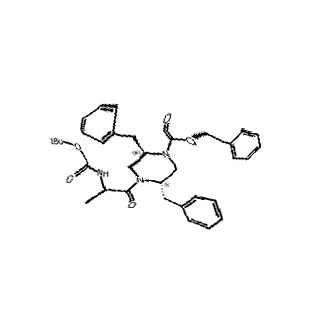 CC(NC(=O)OC(C)(C)C)C(=O)N1C[C@@H](Cc2ccccc2)N(C(=O)OCc2ccccc2)C[C@@H]1Cc1ccccc1